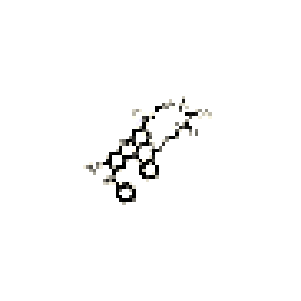 C=C(C)C(=O)OCCOC(=O)c1ccccc1-c1c2cc/c(=[N+](/CC)CCC(C)C)cc-2oc2cc(C)c(Nc3ccccc3)cc12